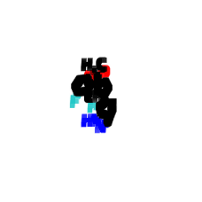 COC(=O)C1(c2cccc(F)c2C)CCC(c2ccc3cn[nH]c3c2F)C1